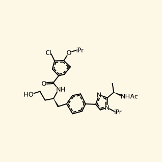 CC(=O)N[C@H](C)c1nc(-c2ccc(C[C@@H](CCO)NC(=O)c3ccc(OC(C)C)c(Cl)c3)cc2)cn1C(C)C